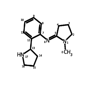 CN1CCCC1=Nc1ccccc1C1CCCN1